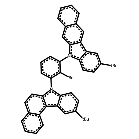 CC(C)(C)c1ccc2c(c1)c1cc3ccccc3cc1n2-c1cccc(-n2c3ccc(C(C)(C)C)cc3c3c4ccccc4ccc32)c1Br